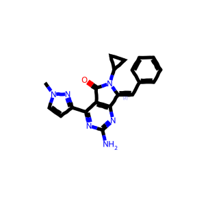 Cn1ccc(-c2nc(N)nc3c2C(=O)N(C2CC2)/C3=C\c2ccccc2)n1